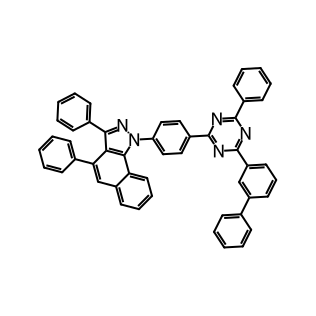 c1ccc(-c2cccc(-c3nc(-c4ccccc4)nc(-c4ccc(-n5nc(-c6ccccc6)c6c(-c7ccccc7)cc7ccccc7c65)cc4)n3)c2)cc1